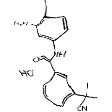 Cc1ccc(NC(=O)c2cccc(C(C)(C)C#N)c2)cc1N.Cl